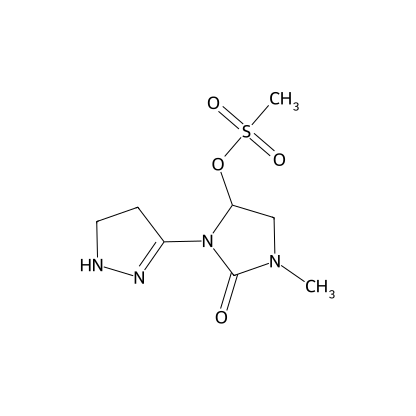 CN1CC(OS(C)(=O)=O)N(C2=NNCC2)C1=O